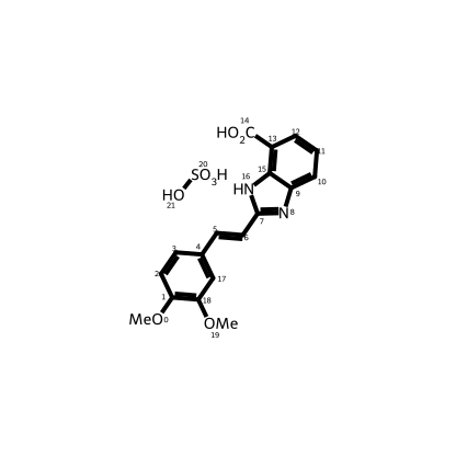 COc1ccc(C=Cc2nc3cccc(C(=O)O)c3[nH]2)cc1OC.O=S(=O)(O)O